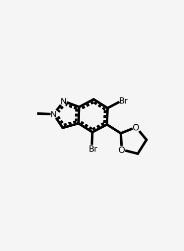 Cn1cc2c(Br)c(C3OCCO3)c(Br)cc2n1